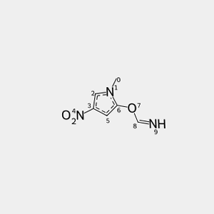 Cn1cc([N+](=O)[O-])cc1OC=N